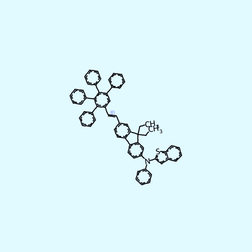 CCC1(CC)c2cc(/C=C/c3cc(-c4ccccc4)c(-c4ccccc4)c(-c4ccccc4)c3-c3ccccc3)ccc2-c2ccc(N(c3ccccc3)c3cc4ccccc4s3)cc21